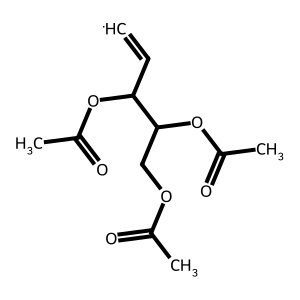 [CH]=CC(OC(C)=O)C(COC(C)=O)OC(C)=O